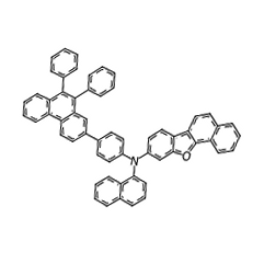 c1ccc(-c2c(-c3ccccc3)c3cc(-c4ccc(N(c5ccc6c(c5)oc5c7ccccc7ccc65)c5cccc6ccccc56)cc4)ccc3c3ccccc23)cc1